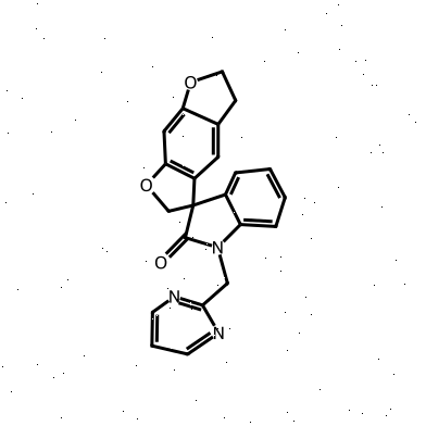 O=C1N(Cc2ncccn2)c2ccccc2C12COc1cc3c(cc12)CCO3